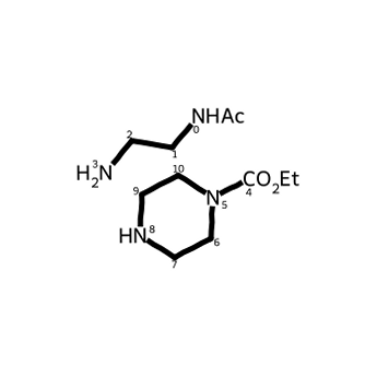 CC(=O)NCCN.CCOC(=O)N1CCNCC1